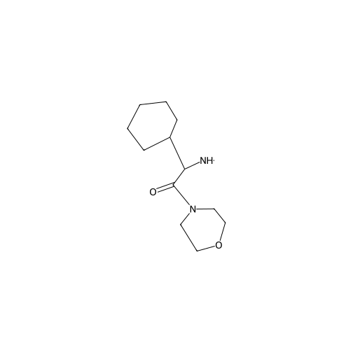 [NH]C(C(=O)N1CCOCC1)C1CCCCC1